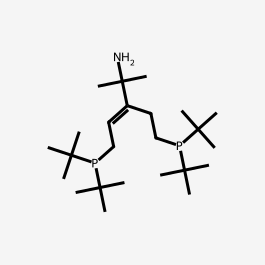 CC(C)(N)C(=CCP(C(C)(C)C)C(C)(C)C)CCP(C(C)(C)C)C(C)(C)C